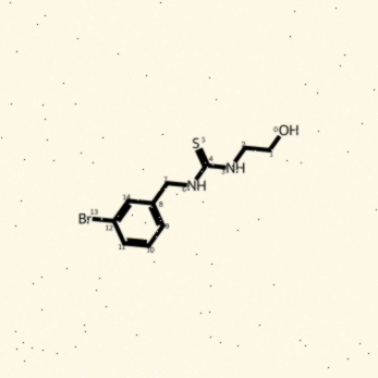 OCCNC(=S)NCc1cccc(Br)c1